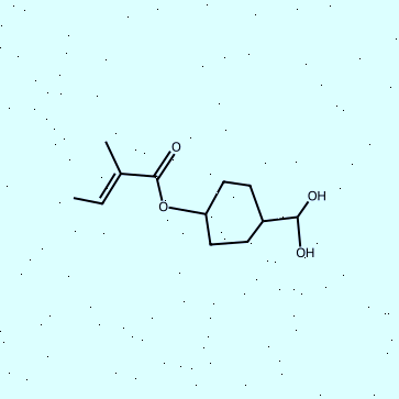 CC=C(C)C(=O)OC1CCC(C(O)O)CC1